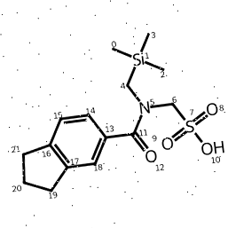 C[Si](C)(C)CN(CS(=O)(=O)O)C(=O)c1ccc2c(c1)CCC2